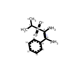 CC(C)S(=O)(=O)/C(N)=C(/N)c1ccccc1